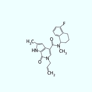 C=CCn1cc(C(=O)N(C)C2CCCc3c(F)cccc32)c2cc(C)[nH]c2c1=O